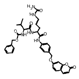 CC(C)C(NC(=O)OCc1ccccc1)C(=O)NC(CCCNC(N)=O)C(=O)Nc1ccc(COc2ccc3ccc(=O)oc3c2)cc1